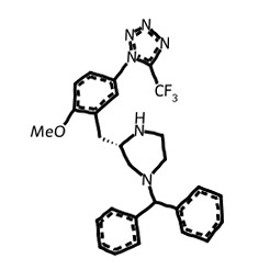 COc1ccc(-n2nnnc2C(F)(F)F)cc1C[C@H]1CN(C(c2ccccc2)c2ccccc2)CCN1